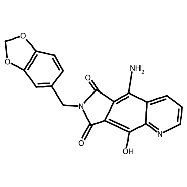 Nc1c2c(c(O)c3ncccc13)C(=O)N(Cc1ccc3c(c1)OCO3)C2=O